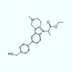 CCOC(=O)C(C)n1c2c(c3cc(-c4ccc(CO)cc4)ccc31)CN(C)CC2